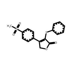 CS(=O)(=O)c1ccc(C2=C(Sc3ccccc3)C(=O)OC2)cc1